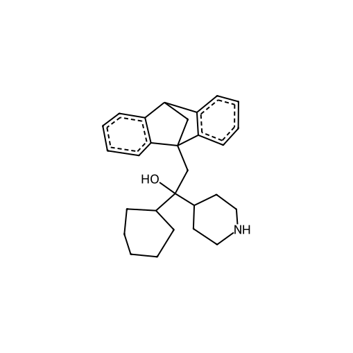 OC(CC12CC(c3ccccc31)c1ccccc12)(C1CCCCC1)C1CCNCC1